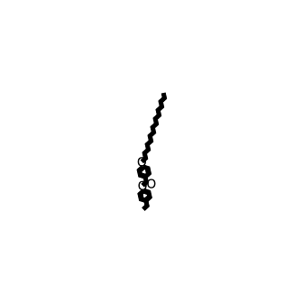 CCCCCCCCCCCCCCCCOc1ccc(C(=O)Oc2ccc(CC)cc2)cc1